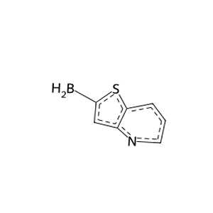 Bc1cc2ncccc2s1